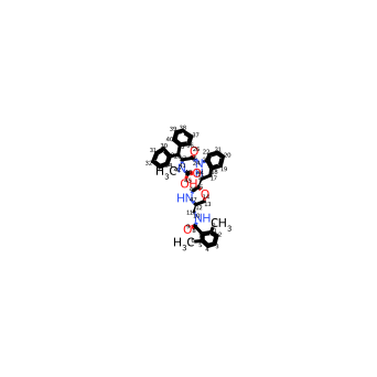 Cc1cccc(C)c1C(=O)NC[C@@H]1CO[C@H](CCc2ccccc2NC(=O)[C@H](C(c2ccccc2)c2ccccc2)N(C)C(=O)O)CN1